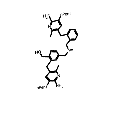 CCCCCc1cc(Cc2cc(CN(C)Cc3ccccc3Cc3cc(CCCCC)c(N)nc3C)ccc2CO)c(C)nc1N